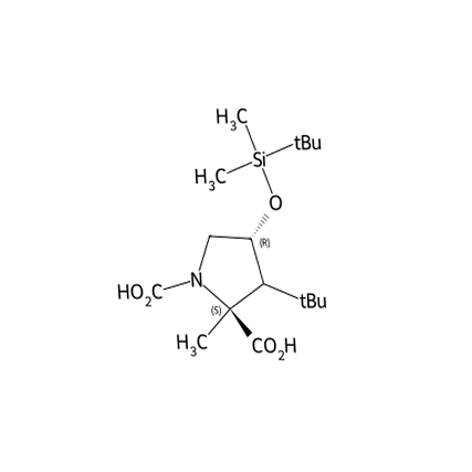 CC(C)(C)C1[C@@H](O[Si](C)(C)C(C)(C)C)CN(C(=O)O)[C@]1(C)C(=O)O